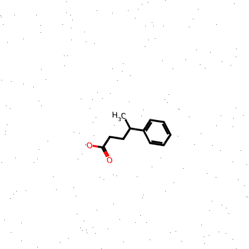 CC(CCC([O])=O)c1ccccc1